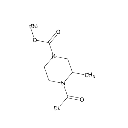 CCC(=O)N1CCN(C(=O)OC(C)(C)C)CC1C